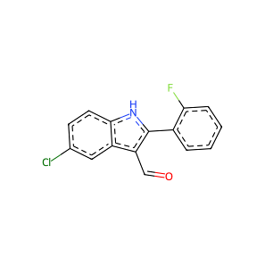 O=Cc1c(-c2ccccc2F)[nH]c2ccc(Cl)cc12